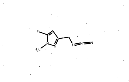 Cn1nc(CN=[N+]=[N-])cc1F